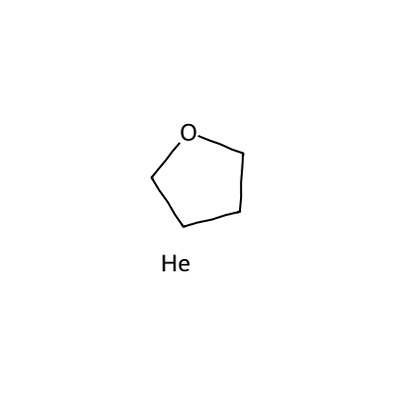 C1CCOC1.[He]